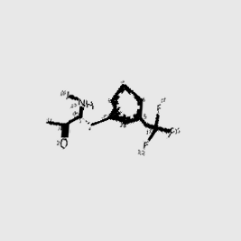 CC(=O)[C@@H](Cc1cccc(C(F)(F)F)c1)NI